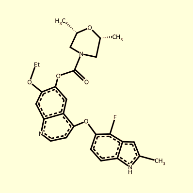 CCOc1cc2nccc(Oc3ccc4[nH]c(C)cc4c3F)c2cc1OC(=O)N1C[C@@H](C)O[C@@H](C)C1